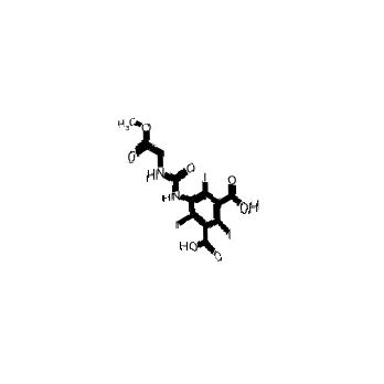 COC(=O)CNC(=O)Nc1c(I)c(C(=O)O)c(I)c(C(=O)O)c1I